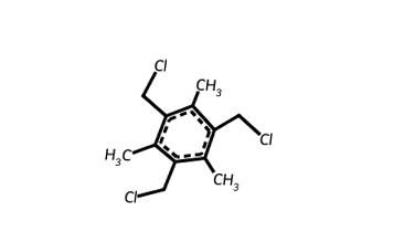 Cc1c(CCl)c(C)c(CCl)c(C)c1CCl